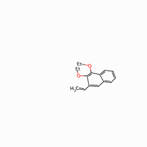 C=Cc1cc2ccccc2c(OCC)c1OCC